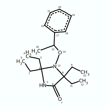 CCC1(CC)NC(=O)C(CC)(CC)N1OC(C)c1ccccc1